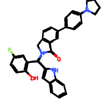 O=C1c2cc(-c3ccc(N4CCCC4)cc3)ccc2CN1C(c1cc2ccccc2[nH]1)c1cc(F)ccc1O